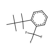 CC(C)(C)C(C)(C)c1ccccc1C(F)(F)F